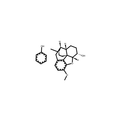 COc1ccc2c3c1O[C@H]1[C@@H](O)CC[C@H]4[C@@H](C2)N(C)CC[C@@]341.Oc1ccccc1